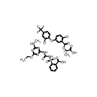 CCOc1nc(NC)nc(NC(=O)NS(=O)(=O)c2ccccc2C(=O)O)n1.C[C@H](OC(=O)c1cc(Oc2ccc(C(F)(F)F)cc2Cl)ccc1Cl)C(=O)O